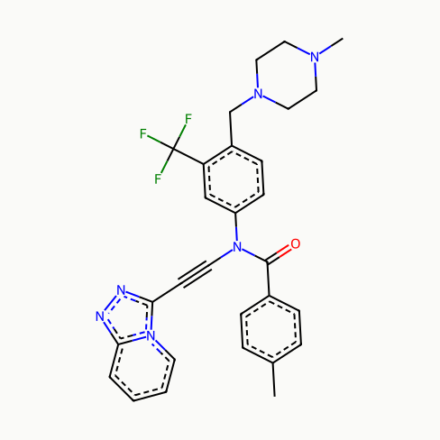 Cc1ccc(C(=O)N(C#Cc2nnc3ccccn23)c2ccc(CN3CCN(C)CC3)c(C(F)(F)F)c2)cc1